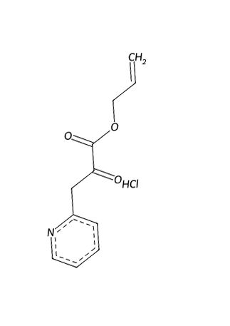 C=CCOC(=O)C(=O)Cc1ccccn1.Cl